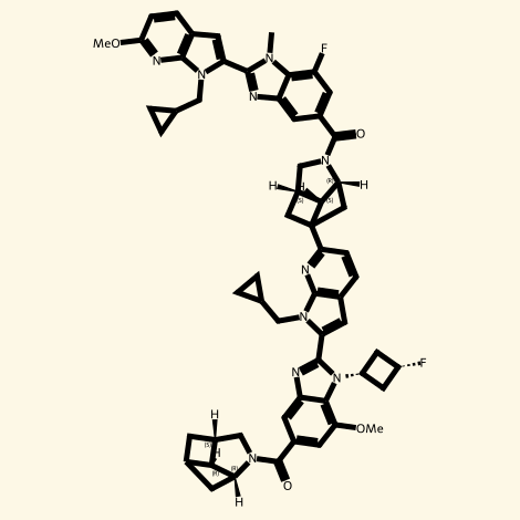 COc1ccc2cc(-c3nc4cc(C(=O)N5C[C@H]6CC7(c8ccc9cc(-c%10nc%11cc(C(=O)N%12C[C@H]%13CC%14C[C@@H]%12[C@H]%14%13)cc(OC)c%11n%10[C@H]%10C[C@@H](F)C%10)n(CC%10CC%10)c9n8)C[C@@H]5[C@@H]67)cc(F)c4n3C)n(CC3CC3)c2n1